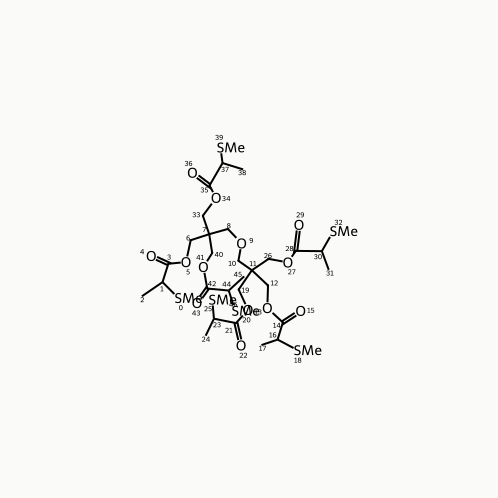 CSC(C)C(=O)OCC(COCC(COC(=O)C(C)SC)(COC(=O)C(C)SC)COC(=O)C(C)SC)(COC(=O)C(C)SC)COC(=O)C(C)SC